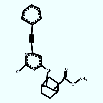 COC(=O)C1C2CCC(CC2)C1Nc1cc(C#Cc2ccccc2)nc(Cl)n1